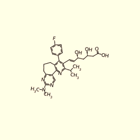 CC(C)c1nc2c(c(-c3ccc(F)cc3)c1/C=C/[C@@H](O)C[C@@H](O)CC(=O)O)CCCc1nc(N(C)C)ncc1-2